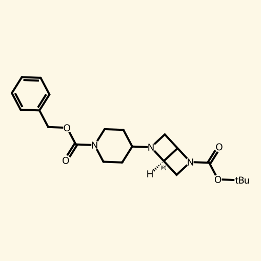 CC(C)(C)OC(=O)N1C[C@@H]2C1CN2C1CCN(C(=O)OCc2ccccc2)CC1